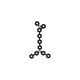 c1ccc(-c2ccc(N(c3ccc(-c4ccccc4)cc3)c3ccc(-c4ccc(-c5ccc(-c6ccc7c(c6)c6ccccc6n7-c6ccccc6)cc5)cc4)cc3)cc2)cc1